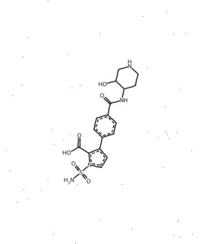 NS(=O)(=O)n1ccc(-c2ccc(C(=O)NC3CCNCC3O)cc2)c1C(=O)O